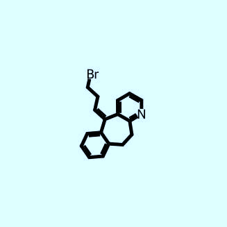 BrCCC=C1c2ccccc2CCc2ncccc21